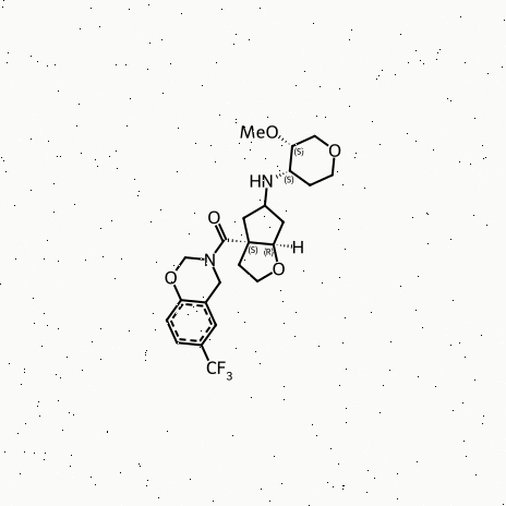 CO[C@@H]1COCC[C@@H]1NC1C[C@H]2OCC[C@@]2(C(=O)N2COc3ccc(C(F)(F)F)cc3C2)C1